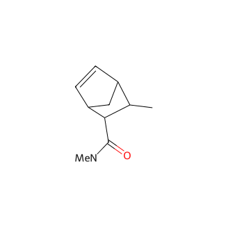 CNC(=O)C1C2C=CC(C2)C1C